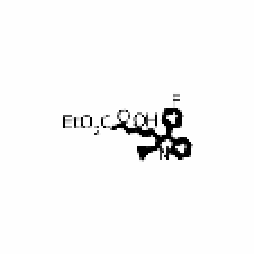 CCOC(=O)CC(=O)C[C@H](O)C=Cc1c(C2CC2)nc2ccccc2c1-c1ccc(F)cc1